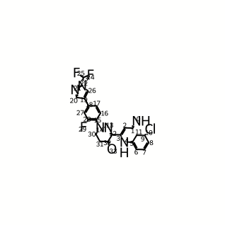 N=C/C=C(\NC1=CC=CC(Cl)C1)C1=NN(c2ccc(-c3cnn(C(F)F)c3)cc2F)CCC1=O